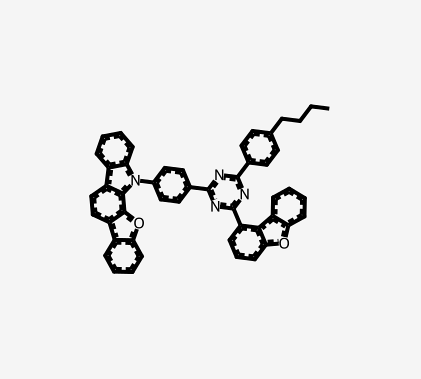 CCCCc1ccc(-c2nc(-c3ccc(-n4c5ccccc5c5ccc6c7ccccc7oc6c54)cc3)nc(-c3cccc4oc5ccccc5c34)n2)cc1